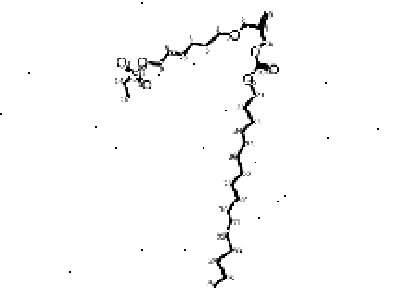 C=C(COCCCCCCOS(=O)(=O)CC)COC(=O)OCCCCCCCCCCCCCCCC